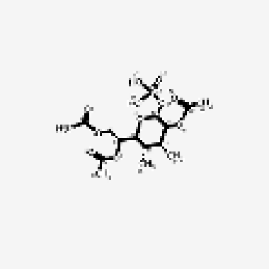 CC(=O)OC[C@H](OC(C)=O)C1O[C@@H](OP(=O)(O)O)C(OC(C)=O)[C@@H](C)[C@@H]1C